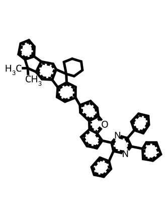 CC1(C)c2ccccc2-c2cc3c(cc21)-c1ccc(-c2ccc4oc5c(-c6nc(-c7ccccc7)c(-c7ccccc7)nc6-c6ccccc6)cccc5c4c2)cc1C31CCCCC1